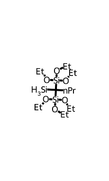 CCCC([SiH3])([Si](OCC)(OCC)OCC)[Si](OCC)(OCC)OCC